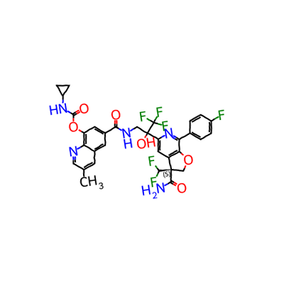 Cc1cnc2c(OC(=O)NC3CC3)cc(C(=O)NCC(O)(c3cc4c(c(-c5ccc(F)cc5)n3)OC[C@@]4(C(N)=O)C(F)F)C(F)(F)F)cc2c1